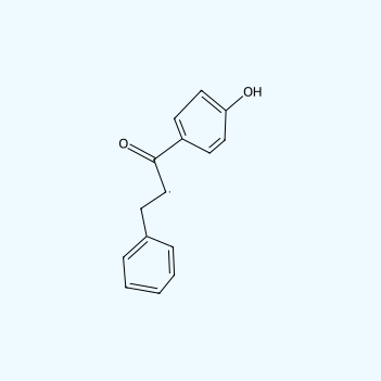 O=C([CH]Cc1ccccc1)c1ccc(O)cc1